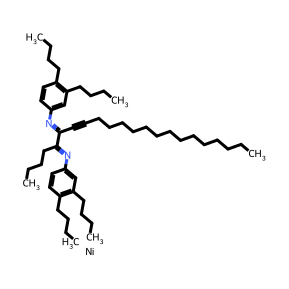 CCCCCCCCCCCCCCC#CC(=Nc1ccc(CCCC)c(CCCC)c1)C(CCCC)=Nc1ccc(CCCC)c(CCCC)c1.[Ni]